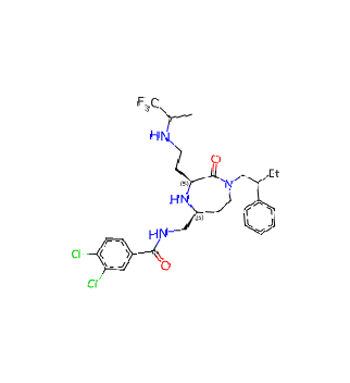 CCC(CN1CC[C@@H](CNC(=O)c2ccc(Cl)c(Cl)c2)N[C@@H](CCNC(C)C(F)(F)F)C1=O)c1ccccc1